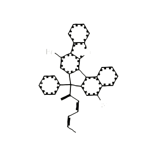 C=C(/C=C\C=C/C)C1(c2ccccc2)c2cc(Br)c3ccccc3c2-c2c1cc(Br)c1c2oc2ccccc21